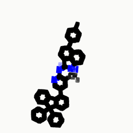 Cc1ccc(-c2ccc3c4c(cccc24)N/C3=N\c2ncc(-c3cccc4c3-c3ccccc3C4(c3ccccc3)c3ccccc3)cc2C(F)(F)F)cc1